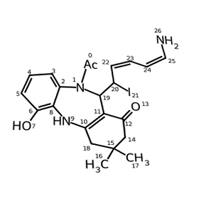 CC(=O)N1c2cccc(O)c2NC2=C(C(=O)CC(C)(C)C2)C1C(I)/C=C\C=C/N